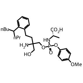 CCCCC(CCC)c1ccccc1CCC(N)(CO)COP(=O)(N[C@@H](C)C(=O)O)Oc1ccc(OC)cc1